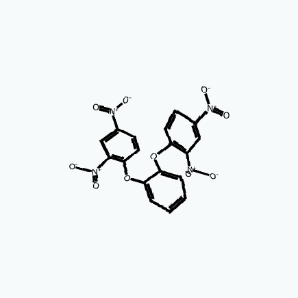 O=[N+]([O-])c1ccc(Oc2ccccc2Oc2ccc([N+](=O)[O-])cc2[N+](=O)[O-])c([N+](=O)[O-])c1